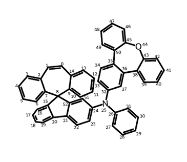 C1=Cc2ccccc2C2(c3ccccc31)c1ccccc1-c1ccc(N(c3ccccc3)c3ccc4c(c3)-c3ccccc3Oc3ccccc3-4)cc12